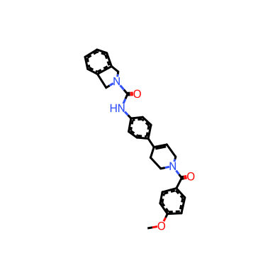 COc1ccc(C(=O)N2CC=C(c3ccc(NC(=O)N4Cc5ccccc5C4)cc3)CC2)cc1